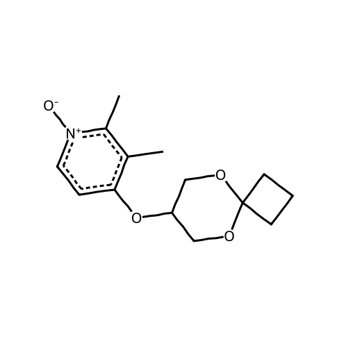 Cc1c(OC2COC3(CCC3)OC2)cc[n+]([O-])c1C